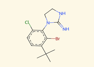 CC(C)(C)c1ccc(Cl)c(N2CCNC2=N)c1Br